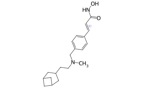 CN(CCC1CC2CC(C1)C2)Cc1ccc(/C=C/C(=O)NO)cc1